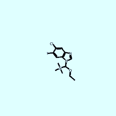 CCOC(n1cnc2cc(Cl)c(I)cc21)[Si](C)(C)C